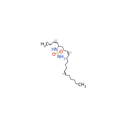 C=C/C=C\C(CC/C=C\CCCC/C=C\CCCCC)NS(N)(=O)=O